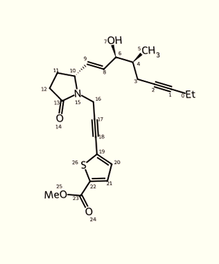 CCC#CC[C@H](C)[C@H](O)C=C[C@H]1CCC(=O)N1CC#Cc1ccc(C(=O)OC)s1